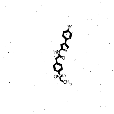 CCS(=O)(=O)c1ccc(CC(=O)Nc2cc(-c3ccc(Br)cc3)cs2)cc1